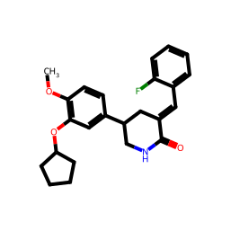 COc1ccc(C2CNC(=O)C(=Cc3ccccc3F)C2)cc1OC1CCCC1